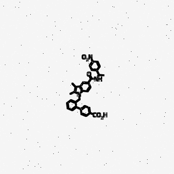 Cc1c(C)n(Cc2ccccc2-c2ccc(C(=O)O)cc2)c2ccc(C(=O)NC(C)c3ccc([N+](=O)[O-])cc3)cc12